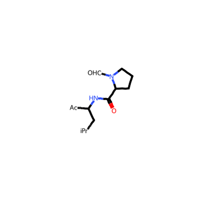 CC(=O)C(CC(C)C)NC(=O)C1CCCN1C=O